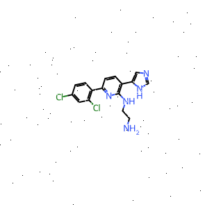 NCCNc1nc(-c2ccc(Cl)cc2Cl)ccc1-c1cnc[nH]1